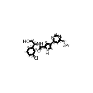 CC(C)Sc1cc(-c2c[nH]c(C(=O)NC(CO)c3cccc(Cl)c3)c2)ncn1